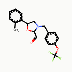 Cc1ccccc1C1CN(Cc2ccc(OC(F)(F)F)cc2)C(C=O)O1